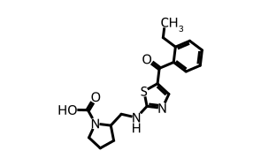 CCc1ccccc1C(=O)c1cnc(NCC2CCCN2C(=O)O)s1